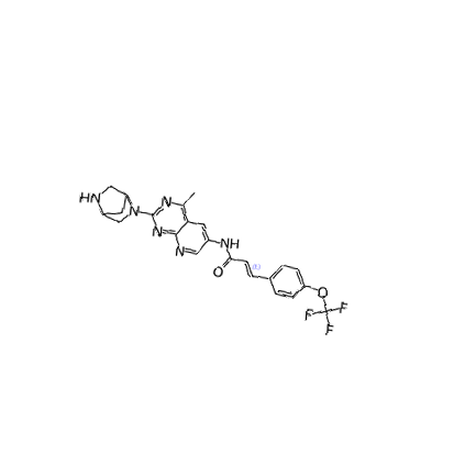 Cc1nc(N2CC3CC2CN3)nc2ncc(NC(=O)/C=C/c3ccc(OC(F)(F)F)cc3)cc12